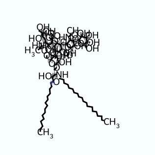 CCCCCCCCCCCCCCC/C=C/[C@H](O)[C@H](CO[C@@H]1O[C@H](CO)[C@@H](O[C@@H]2C[C@H](CO)[C@H](O[C@@H]3O[C@H](CO)[C@H](O)[C@H](O[C@@H]4O[C@H](CO)[C@H](O)[C@H](O)[C@H]4O)[C@H]3NC(C)=O)[C@H](O[C@]3(C(=O)O)C[C@H](O)[C@@H](NC(C)=O)[C@H]([C@H](O)[C@H](O)CO)O3)[C@H]2O)[C@H](O)[C@H]1O)NC(=O)CCCCCCCCCCCCCCCCCCC